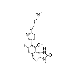 CN(C)CCCOc1ccc(-c2c(F)cc3ncc4c([nH]c(=O)n4C)c3c2O)cn1